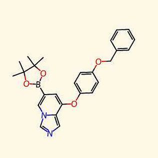 CC1(C)OB(c2cc(Oc3ccc(OCc4ccccc4)cc3)c3cncn3c2)OC1(C)C